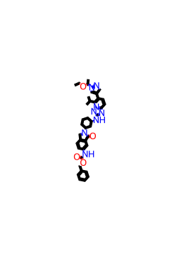 CCOC(C)n1cc(-c2ccc3nc(N[C@@H]4CCC[C@H](N5Cc6ccc(NC(=O)OCc7ccccc7)cc6C5=O)C4)nn3c2C(C)C)cn1